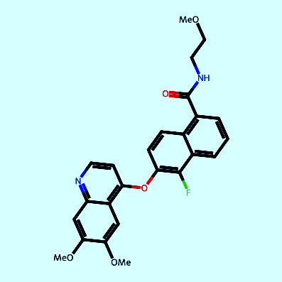 COCCNC(=O)c1cccc2c(F)c(Oc3ccnc4cc(OC)c(OC)cc34)ccc12